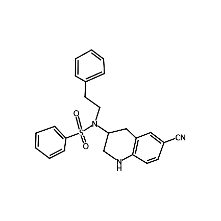 N#Cc1ccc2c(c1)CC(N(CCc1ccccc1)S(=O)(=O)c1ccccc1)CN2